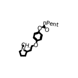 CCCCCC(=O)Oc1ccc(OCCC2CCCN2C)cc1